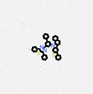 c1ccc(-c2cc(-c3nc(-c4ccccc4)c4sc5ccccc5c4n3)cc(-n3c4cc5sc6ccccc6c5cc4c4ccc5ccccc5c43)c2)cc1